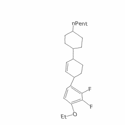 CCCCCC1CCC(C2C=CC(c3ccc(OCC)c(F)c3F)CC2)CC1